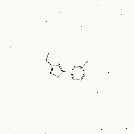 CCc1noc(-c2cccc(C)c2)n1